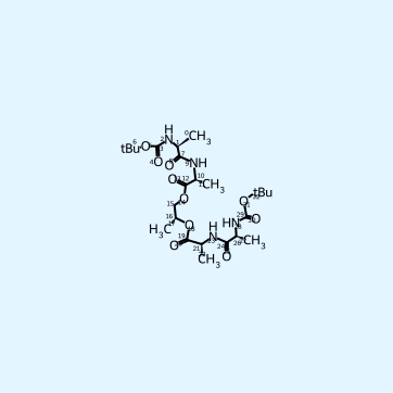 C[C@H](NC(=O)OC(C)(C)C)C(=O)N[C@@H](C)C(=O)OC[C@H](C)OC(=O)[C@H](C)NC(=O)[C@H](C)NC(=O)OC(C)(C)C